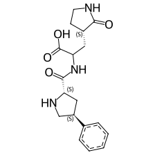 O=C(O)C(C[C@@H]1CCNC1=O)NC(=O)[C@@H]1C[C@@H](c2ccccc2)CN1